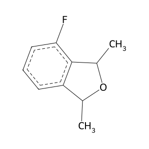 CC1OC(C)c2c(F)cccc21